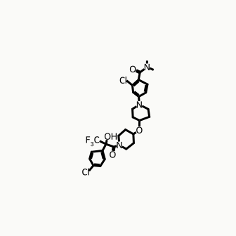 CN(C)C(=O)c1ccc(N2CCC(OC3CCN(C(=O)C(O)(c4ccc(Cl)cc4)C(F)(F)F)CC3)CC2)cc1Cl